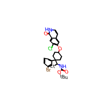 CCC(NC(=O)OC(C)(C)C)C1(c2cccc(Br)c2)CCC(Oc2cc3cc[nH]c(=O)c3cc2Cl)CC1